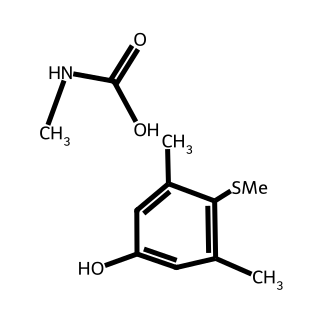 CNC(=O)O.CSc1c(C)cc(O)cc1C